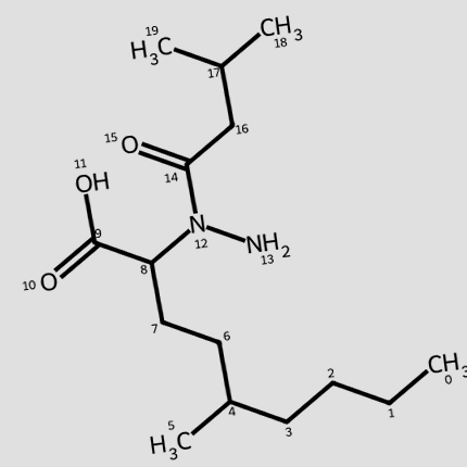 CCCCC(C)CCC(C(=O)O)N(N)C(=O)CC(C)C